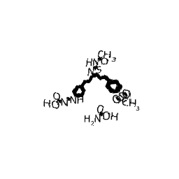 CC(=O)Nc1nc(CCc2ccc(NC=NC(=O)O)cc2)c(CCc2ccc(S(C)(=O)=O)cc2)s1.NC(=O)O